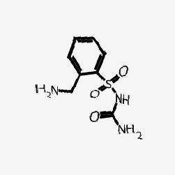 NCc1ccccc1S(=O)(=O)NC(N)=O